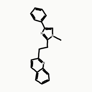 Cn1cc(-c2ccccc2)nc1CCc1ccc2ccccc2n1